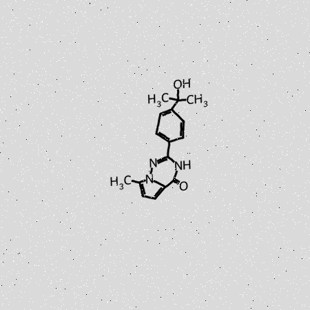 Cc1ccc2c(=O)[nH]c(-c3ccc(C(C)(C)O)cc3)nn12